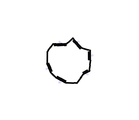 C1=C\C=C\C/C=C/C=C\C/C=C/C=C/1